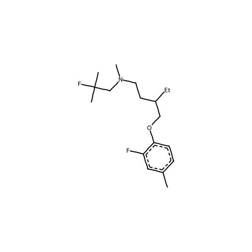 CCC(CCN(C)CC(C)(C)F)COc1ccc(C)cc1F